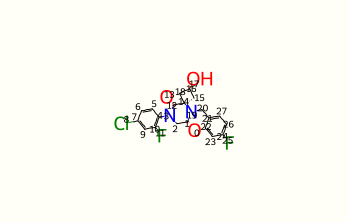 O=C1CN(c2ccc(Cl)cc2F)C(=O)[C@]2(C[C@H](O)C2)N1Cc1ccc(F)cc1